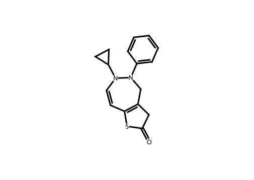 O=C1CC2=C(C=CN(C3CC3)N(c3ccccc3)C2)S1